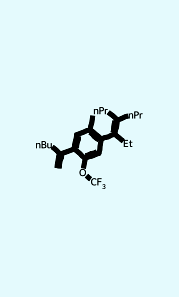 C=C(CCCC)c1cc(C)c(C(CC)=C(CCC)CCC)cc1OC(F)(F)F